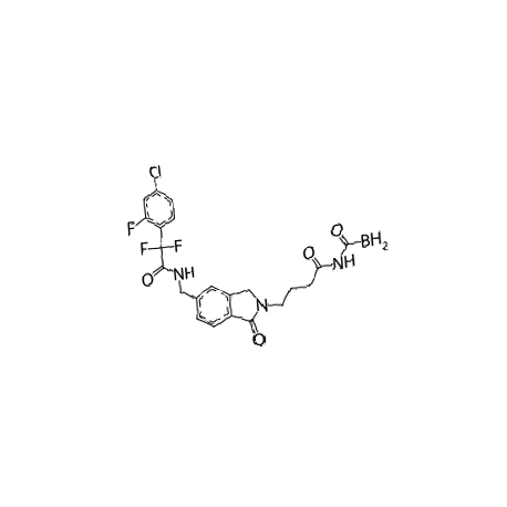 BC(=O)NC(=O)CCCN1Cc2cc(CNC(=O)C(F)(F)c3ccc(Cl)cc3F)ccc2C1=O